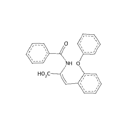 O=C(O)C(=Cc1ccccc1Oc1ccccc1)NC(=O)c1ccccc1